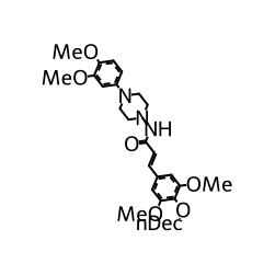 CCCCCCCCCCOc1c(OC)cc(/C=C/C(=O)NN2CCN(c3ccc(OC)c(OC)c3)CC2)cc1OC